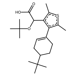 Cc1sc(C)c(C(OC(C)(C)C)C(=O)O)c1C1=CCC(C(C)(C)C)CC1